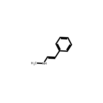 CN/[C]=C/c1ccccc1